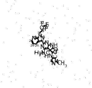 Cn1cc(NC(=O)C2(C)C(=O)Nc3nc(-c4nn(CCOC(F)(F)F)c5ncccc45)nc(N)c32)cn1